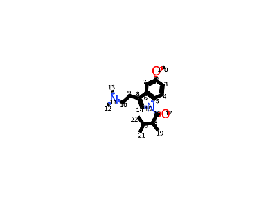 COc1ccc2c(c1)c(CCN(C)C)cn2C(=O)C(C)C(C)C